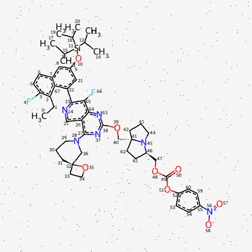 CCc1c(F)ccc2cc(O[Si](C(C)C)(C(C)C)C(C)C)cc(-c3ncc4c(N5CCC[C@@]6(CCO6)C5)nc(OC[C@]56CCCN5[C@@H](COC(=O)Oc5ccc([N+](=O)[O-])cc5)CC6)nc4c3F)c12